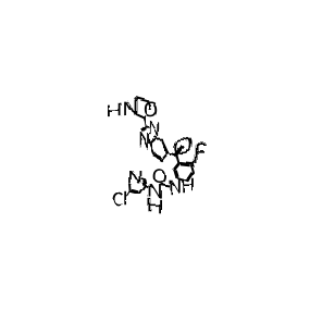 O=C(Nc1cncc(Cl)c1)Nc1ccc(F)c(C(=O)c2ccc3ncc(C4CNCCO4)nc3c2)c1